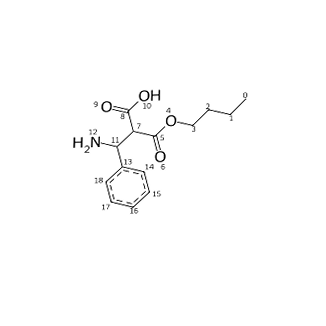 CCCCOC(=O)C(C(=O)O)C(N)c1ccccc1